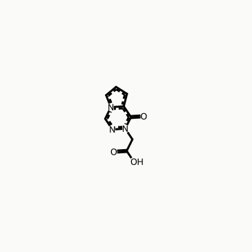 O=C(O)Cn1ncn2cccc2c1=O